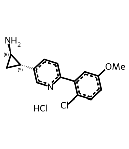 COc1ccc(Cl)c(-c2ccc([C@@H]3C[C@H]3N)cn2)c1.Cl